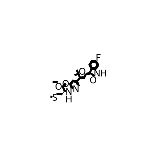 CCOC(=O)[C@H](CCSC)Nc1ccc(C2=C/C(=C3\C(=O)Nc4cc(F)ccc43)OC2(C)C)cn1